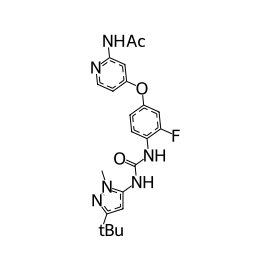 CC(=O)Nc1cc(Oc2ccc(NC(=O)Nc3cc(C(C)(C)C)nn3C)c(F)c2)ccn1